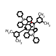 Cc1cc(C)cc(-c2cc3c(s2)C2(c4ccccc4N(c4ccccc4)c4ccccc42)c2cc(-c4cc(C)cc(C)c4)sc2C32c3ccccc3N(c3ccccc3)c3ccccc32)c1